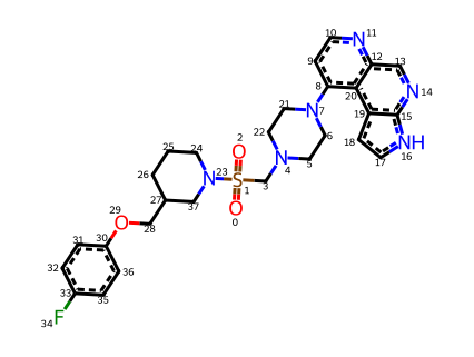 O=S(=O)(CN1CCN(c2ccnc3cnc4[nH]ccc4c23)CC1)N1CCCC(COc2ccc(F)cc2)C1